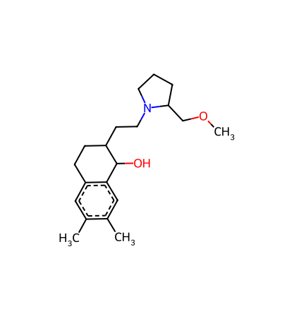 COCC1CCCN1CCC1CCc2cc(C)c(C)cc2C1O